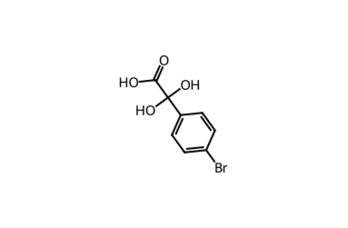 O=C(O)C(O)(O)c1ccc(Br)cc1